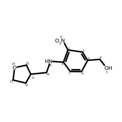 O=[N+]([O-])c1cc(CO)ccc1NCC1CCOC1